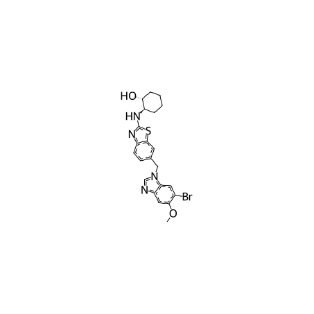 COc1cc2ncn(Cc3ccc4nc(N[C@@H]5CCCC[C@H]5O)sc4c3)c2cc1Br